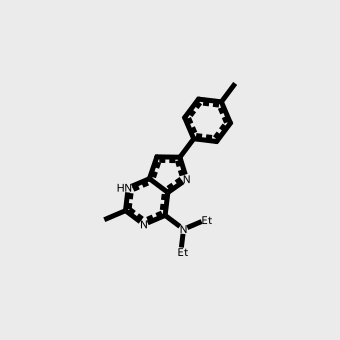 CCN(CC)c1nc(C)[nH]c2cc(-c3ccc(C)cc3)nc1-2